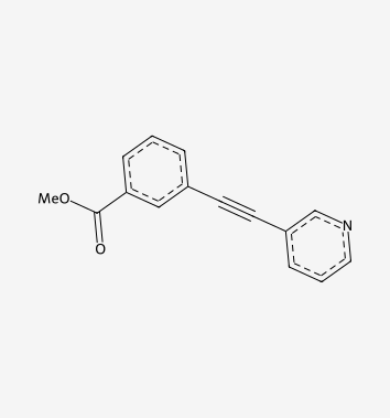 COC(=O)c1cccc(C#Cc2cccnc2)c1